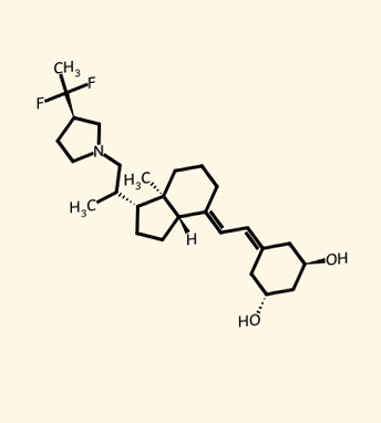 CC(CN1CC[C@@H](C(C)(F)F)C1)[C@H]1CC[C@H]2/C(=C/C=C3C[C@@H](O)C[C@H](O)C3)CCC[C@]12C